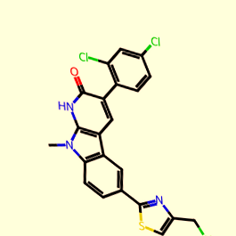 Cn1c2ccc(-c3nc(CCl)cs3)cc2c2cc(-c3ccc(Cl)cc3Cl)c(=O)[nH]c21